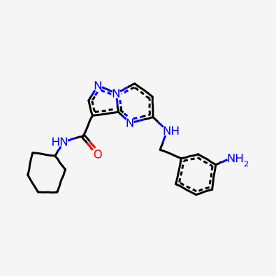 Nc1cccc(CNc2ccn3ncc(C(=O)NC4CCCCC4)c3n2)c1